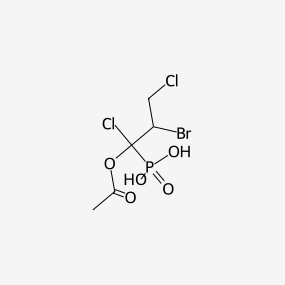 CC(=O)OC(Cl)(C(Br)CCl)P(=O)(O)O